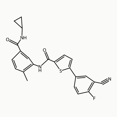 Cc1ccc(C(=O)NC2CC2)cc1NC(=O)c1ccc(-c2ccc(F)c(C#N)c2)s1